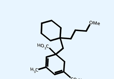 COCCCC1(CC2(C(=O)O)C=C(C)C=C(C(=O)O)C2)CCCCC1